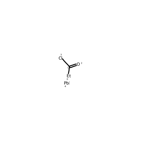 CCC(=O)Cl.[Pb]